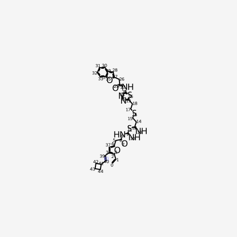 C=Cc1oc(CC(=O)NC(=N)SC(=N)CCSCCc2nnc(NC(=O)Cc3cc4ccccc4o3)s2)cc1/C=C/C1CCC1